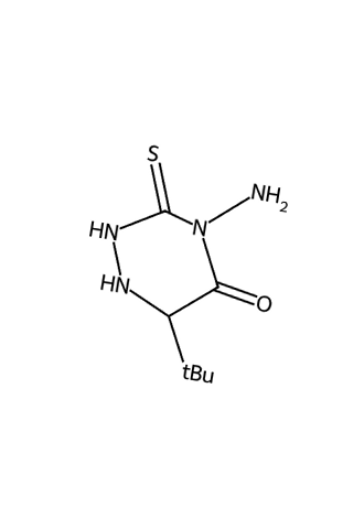 CC(C)(C)C1NNC(=S)N(N)C1=O